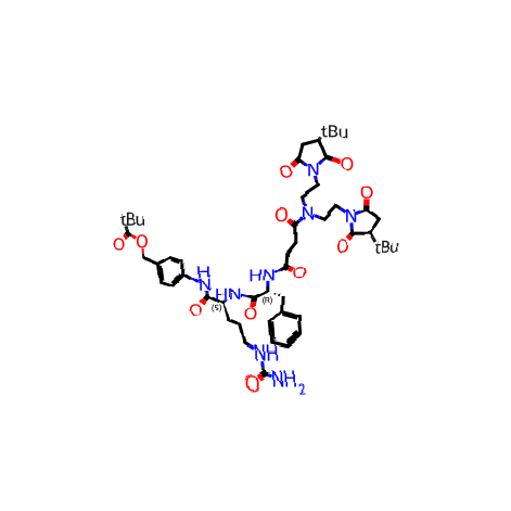 CC(C)(C)C(=O)OCc1ccc(NC(=O)[C@H](CCCNC(N)=O)NC(=O)[C@@H](Cc2ccccc2)NC(=O)CCC(=O)N(CCN2C(=O)CC(C(C)(C)C)C2=O)CCN2C(=O)CC(C(C)(C)C)C2=O)cc1